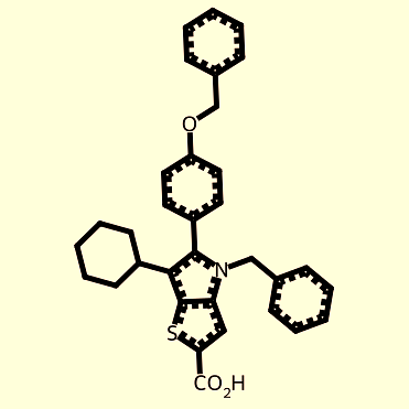 O=C(O)c1cc2c(s1)c(C1CCCCC1)c(-c1ccc(OCc3ccccc3)cc1)n2Cc1ccccc1